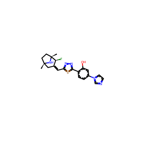 C[C@@]12CC[C@@](C)(N1)[C@@H](F)/C(=C\c1nnc(-c3ccc(-n4ccnc4)cc3O)s1)C2